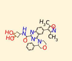 Cc1noc(C)c1-c1ccc2nc(C(=O)NC3CS(O)(O)C3)nc(N3CCOCC3c3ccccc3)c2c1